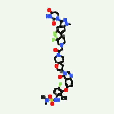 CCN(C)S(=O)(=O)Nc1ccc(F)c(Oc2ccc3ncn([C@H]4COC5(CCN(C(=O)CN6CC[C@H](c7cc8c(cc7F)c(N7CCC(=O)NC7=O)nn8C)C(F)(F)C6)CC5)C4)c(=O)c3c2)c1C#N